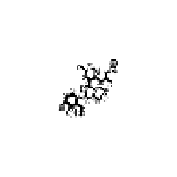 CC/C=C(C(=O)N1CCOC[C@H]1COc1ccc(C)c(O)c1CC)\C(CC(C)CN=O)=N/C